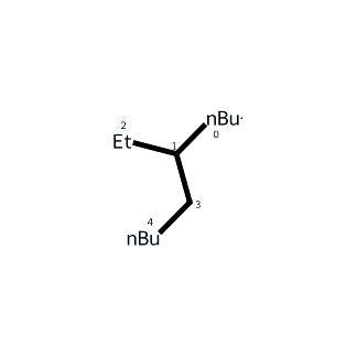 CCC[CH]C(CC)CCCCC